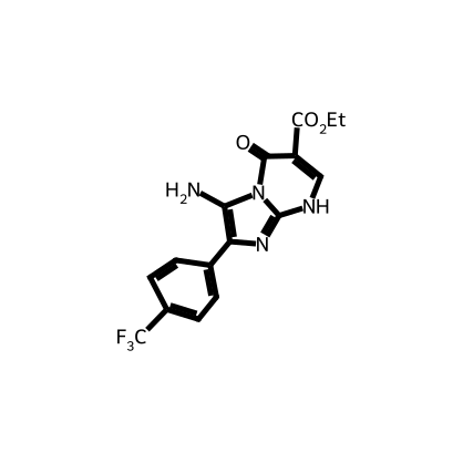 CCOC(=O)c1c[nH]c2nc(-c3ccc(C(F)(F)F)cc3)c(N)n2c1=O